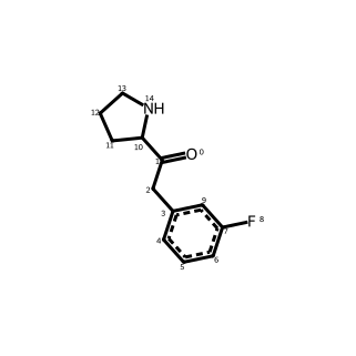 O=C(Cc1cccc(F)c1)C1CCCN1